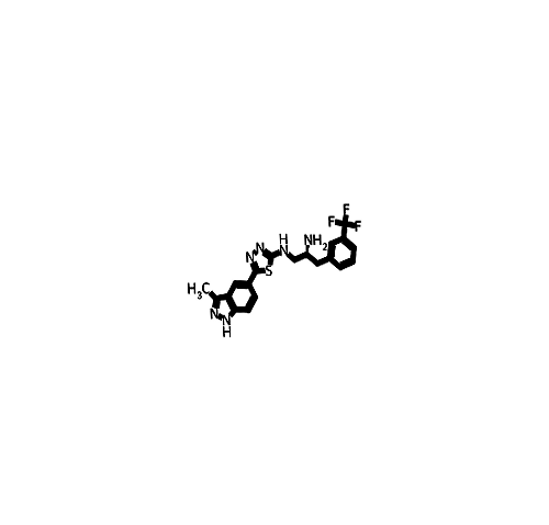 Cc1n[nH]c2ccc(-c3nnc(NC[C@@H](N)Cc4cccc(C(F)(F)F)c4)s3)cc12